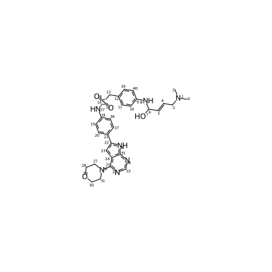 CN(C)C/C=C/C(O)Nc1ccc(CS(=O)(=O)Nc2ccc(-c3cc4c(N5CCOCC5)ncnc4[nH]3)cc2)cc1